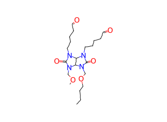 CCCCOCN1C(=O)N(CCCCC=O)C2C1N(COC)C(=O)N2CCCCC=O